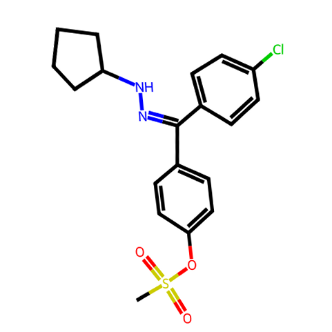 CS(=O)(=O)Oc1ccc(C(=NNC2CCCC2)c2ccc(Cl)cc2)cc1